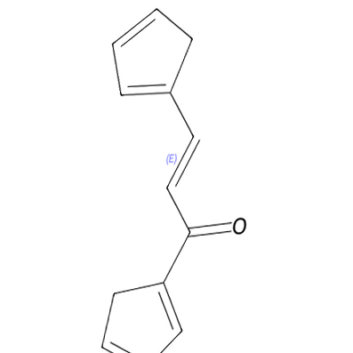 O=C(/C=C/C1=CC=CC1)C1=CC=CC1